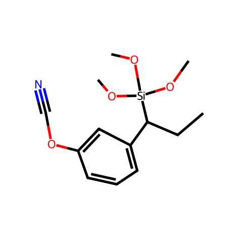 CCC(c1cccc(OC#N)c1)[Si](OC)(OC)OC